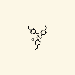 CCc1ccc(O[PH](OCl)(Oc2ccc(CC)cc2)c2ccc(CC)cc2)cc1